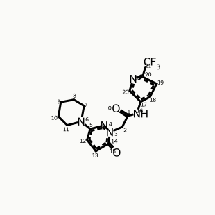 O=C(Cn1nc(N2CCCCC2)ccc1=O)Nc1ccc(C(F)(F)F)nc1